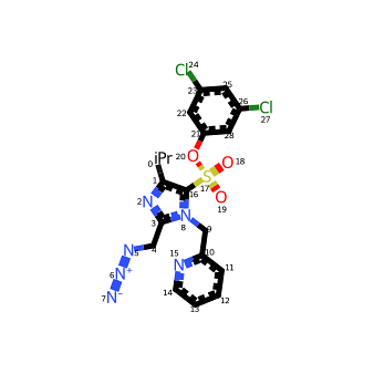 CC(C)c1nc(CN=[N+]=[N-])n(Cc2ccccn2)c1S(=O)(=O)Oc1cc(Cl)cc(Cl)c1